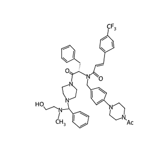 CC(=O)N1CCN(c2ccc(CN(C(=O)C=Cc3ccc(C(F)(F)F)cc3)[C@@H](Cc3ccccc3)C(=O)N3CCN(C(c4ccccc4)N(C)CCO)CC3)cc2)CC1